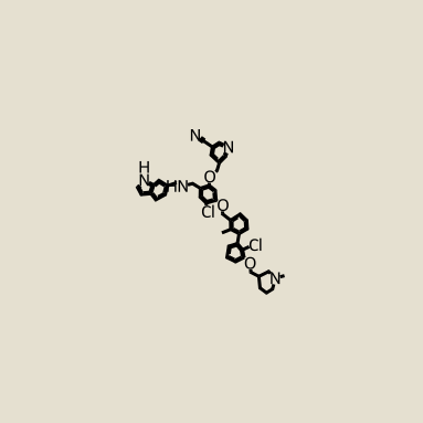 Cc1c(COc2cc(OCc3cncc(C#N)c3)c(CNCc3ccc4cc[nH]c4c3)cc2Cl)cccc1-c1cccc(OCC2CCCN(C)C2)c1Cl